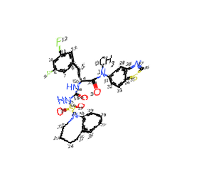 CN(C(=O)[C@H](Cc1cc(F)cc(F)c1)NC(=O)NS(=O)(=O)N1CCCc2ccccc21)c1ccc2scnc2c1